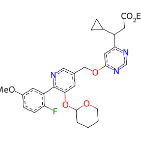 CCOC(=O)CC(c1cc(OCc2cnc(-c3cc(OC)ccc3F)c(OC3CCCCO3)c2)ncn1)C1CC1